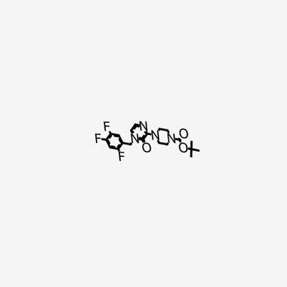 CC(C)(C)OC(=O)N1CCN(c2nccn(Cc3cc(F)c(F)cc3F)c2=O)CC1